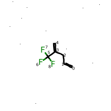 C=CCC(=C)C(F)(F)F